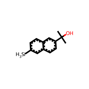 CC(C)(O)c1ccc2cc([SiH3])ccc2c1